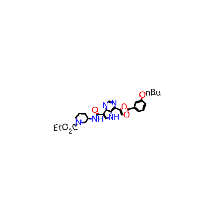 CCCCOc1cccc(C2OC=C(c3ncnc4c(C(=O)NC5CCCN(C(=O)OCC)C5)c[nH]c34)O2)c1